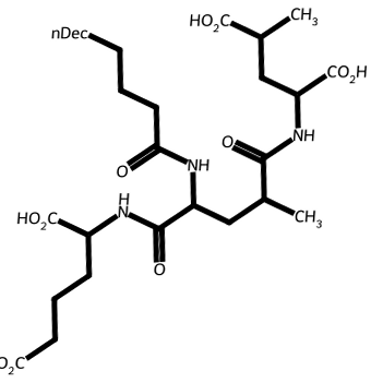 CCCCCCCCCCCCCC(=O)NC(CC(C)C(=O)NC(CC(C)C(=O)O)C(=O)O)C(=O)NC(CCCC(=O)O)C(=O)O